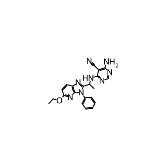 CCOc1ccc2nc(C(C)Nc3ncnc(N)c3C#N)n(-c3ccccc3)c2n1